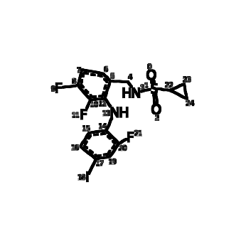 O=S(=O)(NCc1ccc(F)c(F)c1Nc1ccc(I)cc1F)C1CC1